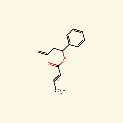 C=CCC(OC(=O)/C=C/C(=O)O)c1ccccc1